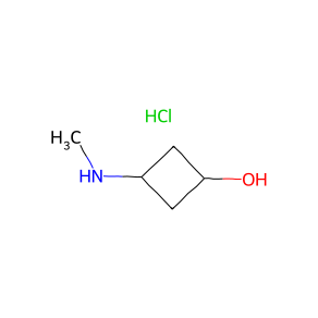 CNC1CC(O)C1.Cl